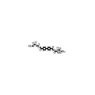 CC(C)(C)OC(=O)NCC(=O)OCC(=O)c1ccc(-c2ccc(C(=O)COC(=O)C(NC(=O)OC(C)(C)C)C(C)(C)C)cc2)cc1